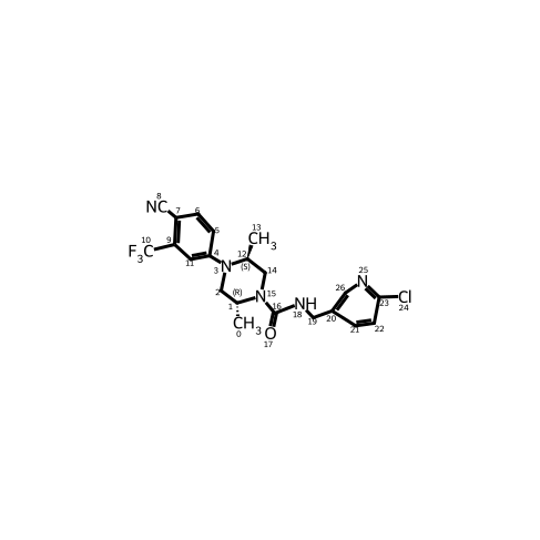 C[C@@H]1CN(c2ccc(C#N)c(C(F)(F)F)c2)[C@@H](C)CN1C(=O)NCc1ccc(Cl)nc1